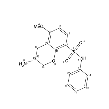 COc1ccc(S(=O)(=O)Nc2ccccc2)c2c1C[C@@H](N)CO2